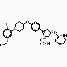 CCOc1ccc(F)c(N2CCC(Oc3ccc(N4C[C@H](OC5=NC=CCN5)C[C@@H]4CC(=O)O)cc3)CC2)c1